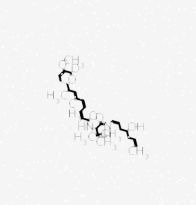 C/C=C\C[C@H](O)C/C=C\NC(=O)[C@@H](NC(=O)\C=C/C=C\C(C)=C\[C@H](C)[C@@H]1CC=C(OC)C(=O)O1)C(C)(C)C